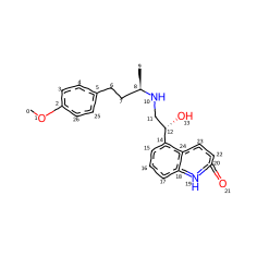 COc1ccc(CC[C@@H](C)NC[C@H](O)c2cccc3[nH]c(=O)ccc23)cc1